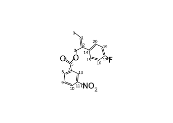 C/C=C(\COC(=O)c1cccc([N+](=O)[O-])c1)c1ccc(F)cc1